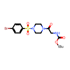 CC(C)(C)OC(=O)NCC(=O)N1CCN(S(=O)(=O)c2ccc(Br)cc2)CC1